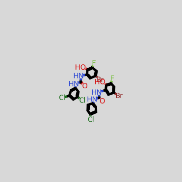 O=C(Nc1cc(Cl)cc(Cl)c1)Nc1cc(Br)cc(F)c1O.O=C(Nc1ccc(Cl)cc1)Nc1cc(Br)cc(F)c1O